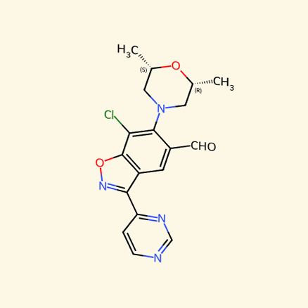 C[C@@H]1CN(c2c(C=O)cc3c(-c4ccncn4)noc3c2Cl)C[C@H](C)O1